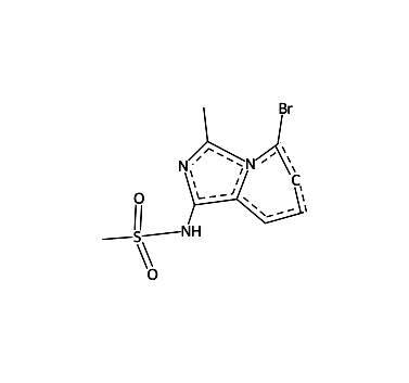 Cc1nc(NS(C)(=O)=O)c2cccc(Br)n12